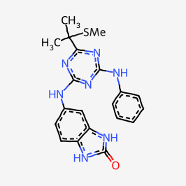 CSC(C)(C)c1nc(Nc2ccccc2)nc(Nc2ccc3[nH]c(=O)[nH]c3c2)n1